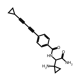 NC(=O)C(NC(=O)c1ccc(C#CC#CC2CC2)cc1)C1(N)CC1